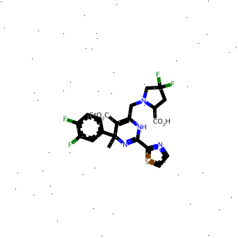 CCOC(=O)C1=C(CN2CC(F)(F)CC2C(=O)O)NC(c2nccs2)=NC1(C)c1ccc(F)c(F)c1